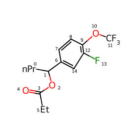 CCCC(OC(=O)CC)c1ccc(OC(F)(F)F)c(F)c1